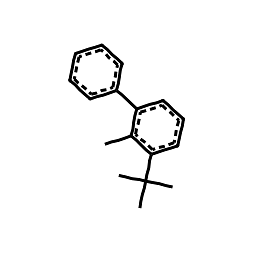 Cc1c(-c2ccccc2)cccc1C(C)(C)C